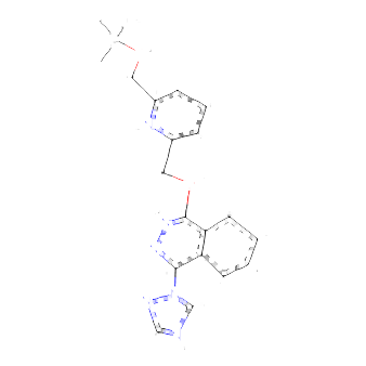 CC(C)(C)[Si](C)(C)OCc1cccc(COc2nnc(-n3cncn3)c3ccccc23)n1